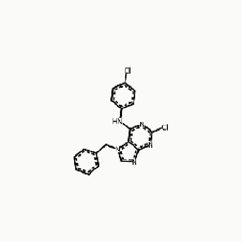 Clc1ccc(Nc2nc(Cl)nc3ncn(Cc4ccccc4)c23)cc1